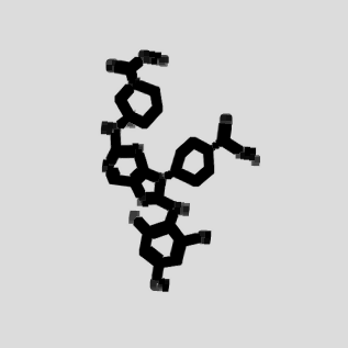 COC(=O)N1CCC[C@@H](Nc2ncc3nc(Nc4c(F)cc(C#N)cc4Cl)n([C@H]4CC[C@@H](C(N)=O)CC4)c3n2)C1